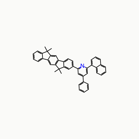 CC1(C)c2ccccc2-c2cc3c(cc21)-c1ccc(-c2cc(-c4ccccc4)cc(-c4cccc5ccccc45)n2)cc1C3(C)C